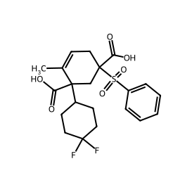 CC1=CCC(C(=O)O)(S(=O)(=O)c2ccccc2)CC1(C(=O)O)C1CCC(F)(F)CC1